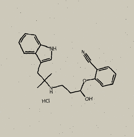 CC(C)(Cc1c[nH]c2ccccc12)NCCC(O)Oc1ccccc1C#N.Cl